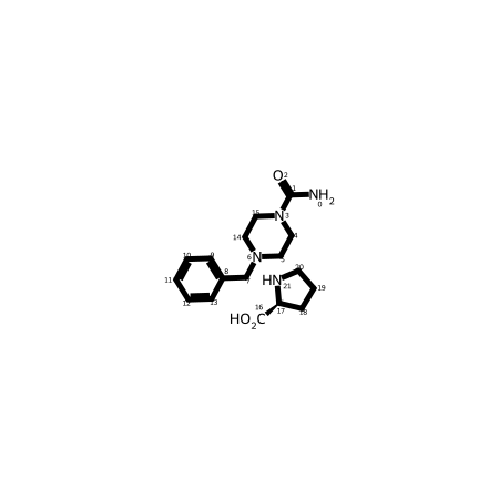 NC(=O)N1CCN(Cc2ccccc2)CC1.O=C(O)[C@@H]1CCCN1